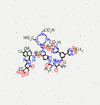 CC[C@@]1(O)C(=O)OCc2c1cc1n(c2=O)Cc2c-1nc1cc(Cl)c(C)c3c1c2[C@@H](NC(=O)OCc1ccc(NC(=O)[C@H](C)NC(=O)[C@@H](NC(=O)c2cc(-c4cnc(S(C)(=O)=O)nc4)cc(-c4cnc(S(C)(=O)=O)nc4)c2)C(C)C)cc1CN(C)C(=O)CN1CCN(CC(=O)O)CCN(CC(=O)O)CCN(CC(=O)O)CC1)CC3